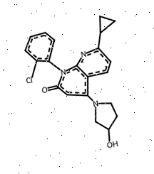 O=c1cc(N2CCC(O)C2)c2ccc(C3CC3)nc2n1-c1ccccc1Cl